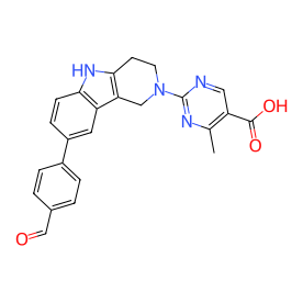 Cc1nc(N2CCc3[nH]c4ccc(-c5ccc(C=O)cc5)cc4c3C2)ncc1C(=O)O